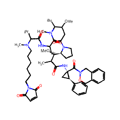 CCC(C)C(C(CC(=O)N1CCC[C@H]1C(OC)C(C)C(=O)N[C@@]1(C(=O)N2Cc3ccccc3CO2)C[C@@H]1c1ccccc1)OC)N(C)C(=O)C(NC(=O)C(C(C)C)N(C)CCCCCCN1C(=O)C=CC1=O)C(C)C